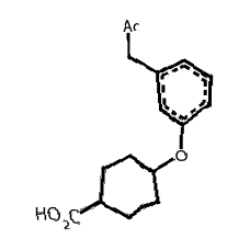 CC(=O)Cc1cccc(OC2CCC(C(=O)O)CC2)c1